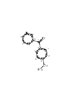 O=C(c1ccccc1)c1ccc(OBr)cc1